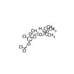 CCC(COCCCC(C)Oc1c(Cl)cc(OCC=C(Cl)Cl)cc1Cl)=NOC(C)(C)C